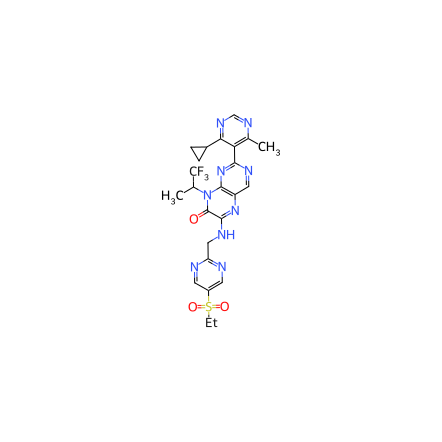 CCS(=O)(=O)c1cnc(CNc2nc3cnc(-c4c(C)ncnc4C4CC4)nc3n(C(C)C(F)(F)F)c2=O)nc1